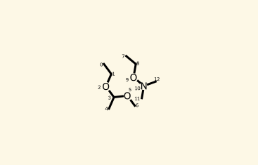 CCOC(C)OC.CCON(C)C